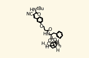 CC(C)(C)NC(=O)C(C#N)=Cc1cccc(OCCC(=O)NC(Cc2ccccc2)B2O[C@@H]3C[C@@H]4C[C@@H](C4(C)C)[C@]3(C)O2)c1